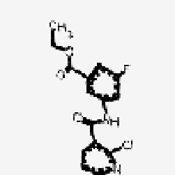 CCOC(=O)c1cc(F)cc(NC(=O)c2cccnc2Cl)c1